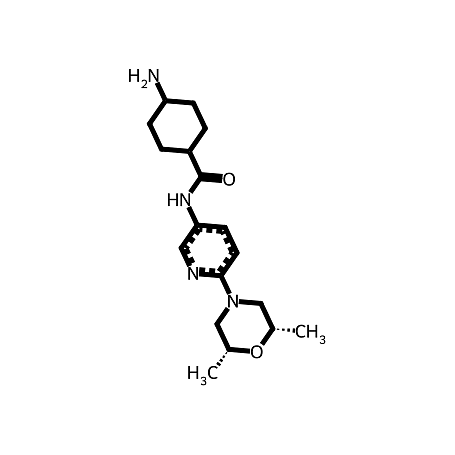 C[C@@H]1CN(c2ccc(NC(=O)C3CCC(N)CC3)cn2)C[C@H](C)O1